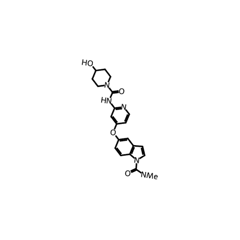 CNC(=O)n1ccc2cc(Oc3ccnc(NC(=O)N4CCC(O)CC4)c3)ccc21